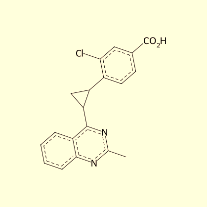 Cc1nc(C2CC2c2ccc(C(=O)O)cc2Cl)c2ccccc2n1